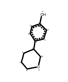 Oc1ccc(C2CCCOC2)cc1